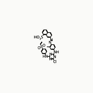 C=CS(=O)(=O)c1ccc(Nc2nc(Cl)nc(Nc3ccc(N=Nc4ccc5cccc(S(=O)(=O)O)c5c4)c(C)c3)n2)cc1